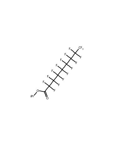 CC(C)OC(=O)C(F)(F)C(F)(F)C(F)(F)C(F)(F)C(F)(F)C(F)(F)C(F)(F)C(F)(F)F